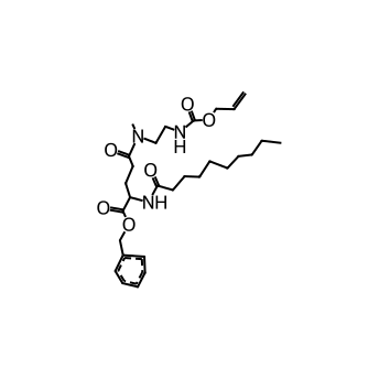 C=CCOC(=O)NCCN(C)C(=O)CCC(NC(=O)CCCCCCCCC)C(=O)OCc1ccccc1